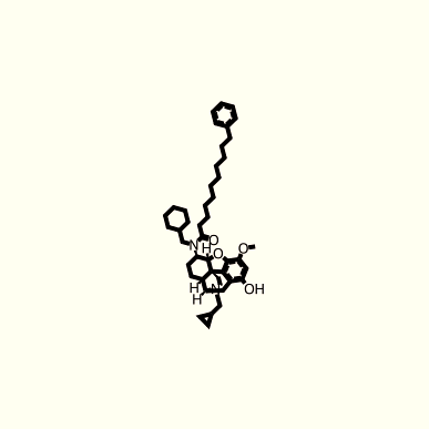 COc1cc(O)c2c3c1O[C@H]1[C@H](N(CC4CCCCC4)C(=O)CCCCCCCCCCc4ccccc4)CC[C@H]4[C@@H](C2)N(CC2CC2)CC[C@@]341